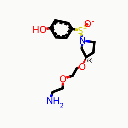 NCCOCCO[C@@H]1CCN([S+]([O-])c2ccc(O)cc2)C1